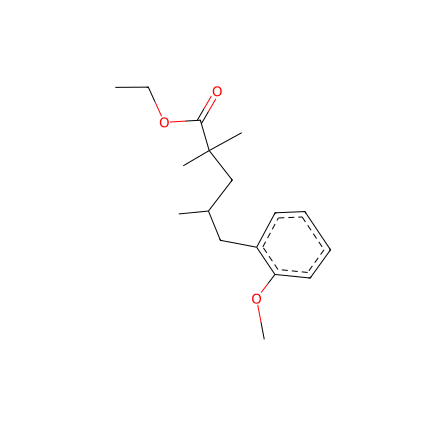 CCOC(=O)C(C)(C)CC(C)Cc1ccccc1OC